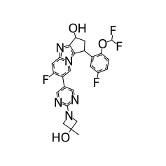 CC1(O)CN(c2ncc(-c3cn4c5c(nc4cc3F)C(O)CC5c3cc(F)ccc3OC(F)F)cn2)C1